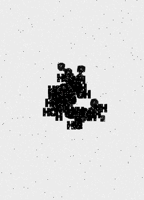 C[C@@H](O)[C@H](NC(=O)CNC(=O)[C@H](CCC(=O)O)NC(=O)C(C)(C)NC(=O)[C@H](Cc1c[nH]cn1)NC(=O)[C@@H](N)Cc1c[nH]c2ccccc12)C(=O)N[C@@H](Cc1ccccc1)C(=O)N[C@H](C(=O)N[C@@H](CO)C(=O)N[C@@H](CC(=O)O)C(=O)N[C@@H](Cc1ccc(-c2ccccc2)cc1)C(=O)N[C@@H](Cc1ccc(-c2ccccc2)cc1)C(=O)O)[C@@H](C)O